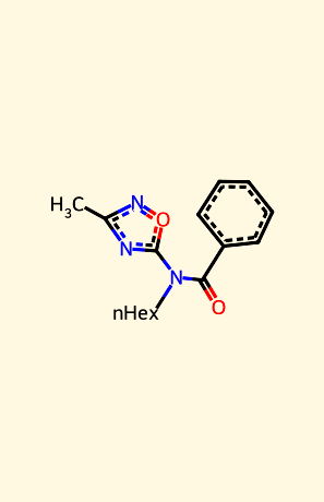 CCCCCCN(C(=O)c1ccccc1)c1nc(C)no1